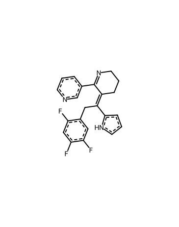 Fc1cc(F)c(CC(=C2CCCN=C2c2cccnc2)c2ccc[nH]2)cc1F